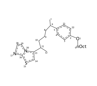 CCCCCCCCOc1ccc(C(C)CCCC(C)c2csc3nccn23)cc1